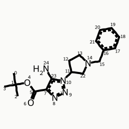 CC(C)(C)OC(=O)c1nnn(C2CCN(Cc3ccccc3)C2)c1N